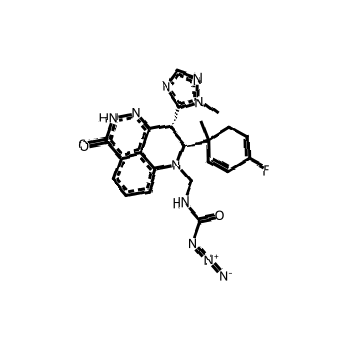 Cn1ncnc1[C@H]1c2n[nH]c(=O)c3cccc(c23)N(CNC(=O)N=[N+]=[N-])[C@@H]1C1(C)C=CC(F)=CC1